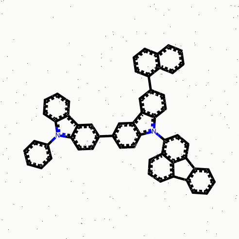 c1ccc(-n2c3ccccc3c3cc(-c4ccc5c(c4)c4cc(-c6cccc7ccccc67)ccc4n5-c4ccc5c6c(cccc46)-c4ccccc4-5)ccc32)cc1